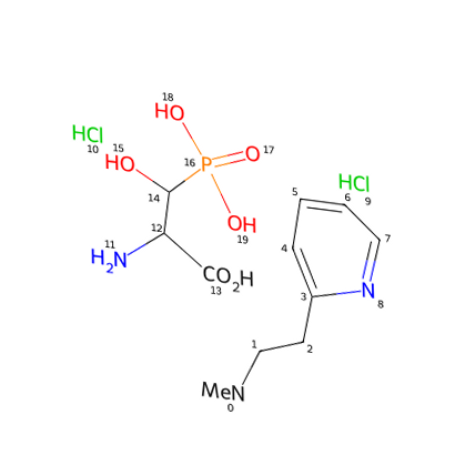 CNCCc1ccccn1.Cl.Cl.NC(C(=O)O)C(O)P(=O)(O)O